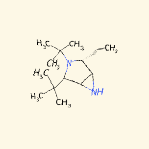 CC[C@@H]1C2NC2C(C(C)(C)C)N1C(C)(C)C